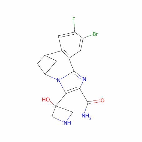 NC(=O)c1nc2n(c1C1(O)CNC1)C1CC(C1)c1cc(F)c(Br)cc1-2